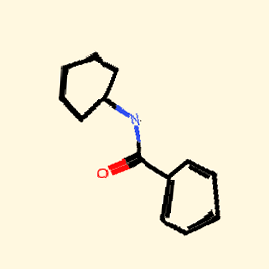 O=C([N]C1CCCCC1)c1ccccc1